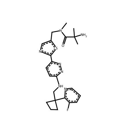 CN(Cc1cnc(-c2ccc(NCC3(c4ncccc4F)CCC3)nn2)s1)C(=O)C(C)(C)N